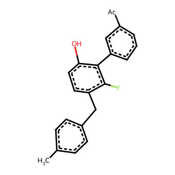 CC(=O)c1cccc(-c2c(O)ccc(Cc3ccc(C)cc3)c2F)c1